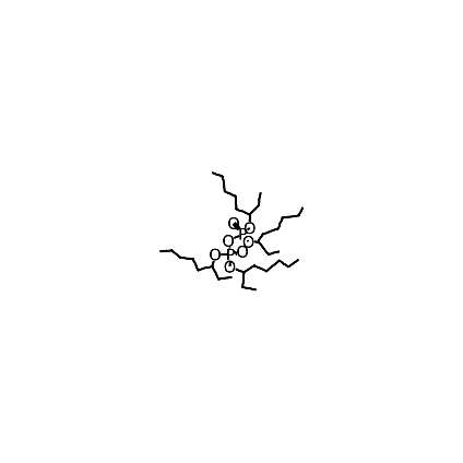 CCCCCC(CC)OP(=O)(OC(CC)CCCCC)OP(=O)(OC(CC)CCCCC)OC(CC)CCCCC